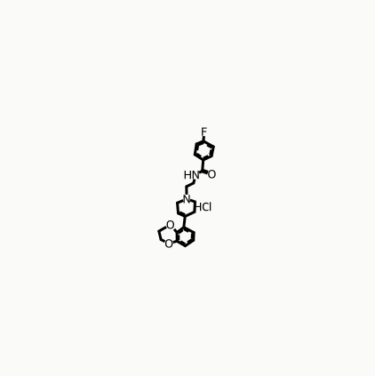 Cl.O=C(NCCN1CC=C(c2cccc3c2OCCO3)CC1)c1ccc(F)cc1